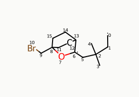 [CH2]CC(C)(C)C[C]1OC2(CBr)CCC1CC2